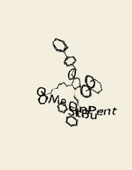 CCCCC[C@@H](/C=C/[C@@H]1[C@@H](C/C=C\CCCC(=O)OC)[C@@H](OCc2ccc(-c3ccccc3)cc2)C[C@H]1OC1CCCCO1)O[Si](c1ccccc1)(c1ccccc1)C(C)(C)C